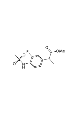 COC(=O)C(C)c1ccc(NS(C)(=O)=O)c(F)c1